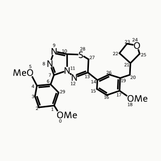 COc1ccc(OC)c(-c2nnc3n2N=C(c2ccc(OC)c(CC4CCOC4)c2)CS3)c1